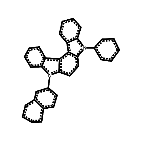 c1ccc(-n2c3ccccc3c3c4c5ccccc5n(-c5ccc6ccccc6c5)c4ccc32)cc1